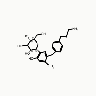 Cc1cc(O)c([C@@H]2O[C@H](CO)[C@@H](O)C(O)[C@H]2O)cc1Cc1ccc(CCCN)cc1